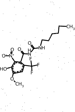 CCCCCCNC(=O)NC(=O)c1c(C(F)(F)F)cc(OC)c(O)c1[N+](=O)[O-]